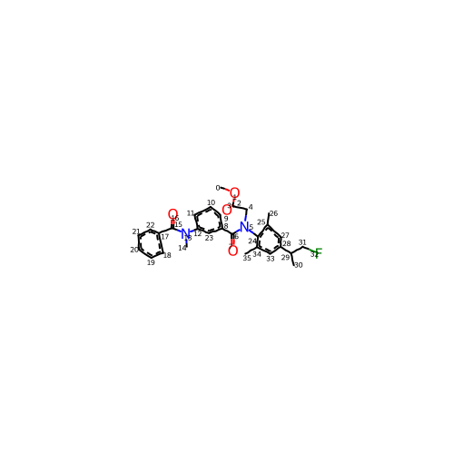 COC(=O)CN(C(=O)c1cccc(N(C)C(=O)c2ccccc2)c1)c1c(C)cc(C(C)CF)cc1C